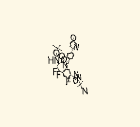 COc1ccc(-c2ccc(CN3C(=O)[C@@H](NC(=O)OC(C)(C)C)CC(F)(F)c4cc(F)c(-c5nnc(C(C)(C)C#N)o5)cc43)cc2)nc1